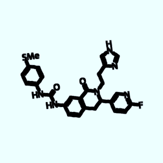 CSc1ccc(NC(=O)Nc2ccc3c(c2)C(=O)N(CCc2c[nH]cn2)C(c2ccc(F)nc2)C3)cc1